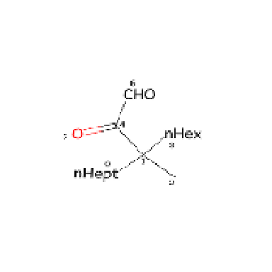 CCCCCCCC(C)(CCCCCC)C(=O)C=O